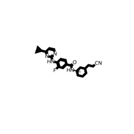 N#CCCC1CCC[C@@H](NC(=O)c2ccc(Nc3nccc(C4CC4)n3)c(F)c2)C1